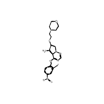 CC1=C2C(Oc3ccc([N+](=O)[O-])cc3F)=NC=NN2CC1OCCN1CCOCC1